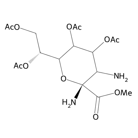 COC(=O)[C@]1(N)OC([C@@H](COC(C)=O)OC(C)=O)C(OC(C)=O)C(OC(C)=O)C1N